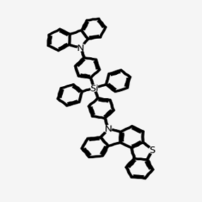 c1ccc([Si](c2ccccc2)(c2ccc(-n3c4ccccc4c4ccccc43)cc2)c2ccc(-n3c4ccccc4c4c5c(ccc43)sc3ccccc35)cc2)cc1